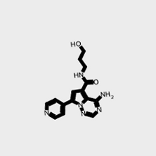 Nc1ncnn2c(-c3ccncc3)cc(C(=O)NCCCO)c12